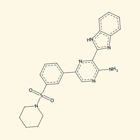 Nc1ncc(-c2cccc(S(=O)(=O)N3CCCCC3)c2)nc1-c1nc2ccccc2[nH]1